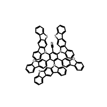 N#Cc1c(-n2c3ccccc3c3cc4c(cc32)sc2ccccc24)c(-c2ccc3c(c2)oc2ccccc23)c(-n2c3ccccc3c3cc4c(cc32)sc2ccccc24)c(-c2ccc3c(c2)oc2ccccc23)c1-n1c2ccccc2c2cc3c(cc21)sc1ccccc13